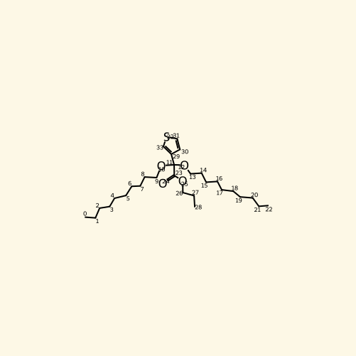 CCCCCCCCCCOC(OCCCCCCCCCC)(C(=O)OCCC)c1ccsc1